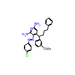 COc1cccc(C(CCCc2ccccc2)c2cc(N)nc(N)c2/N=N/c2ccc(Cl)cc2)c1